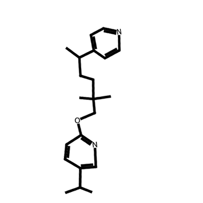 CC(C)c1ccc(OCC(C)(C)CCC(C)c2ccncc2)nc1